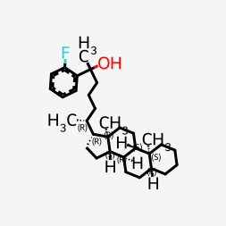 C[C@H](CCCC(C)(O)c1ccccc1F)[C@H]1CC[C@H]2[C@@H]3CC[C@H]4CCCC[C@]4(C)[C@H]3CC[C@]12C